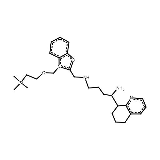 C[Si](C)(C)CCOCn1c(CNCCCC(N)C2CCCc3cccnc32)nc2ccccc21